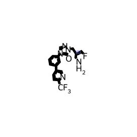 NC/C(=C\F)Cn1ncn(-c2cccc(-c3ccc(C(F)(F)F)nc3)c2)c1=O